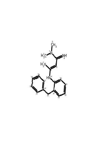 CN(C)C(=N)/C=C(\N)Nc1ccccc1Cc1ccccc1